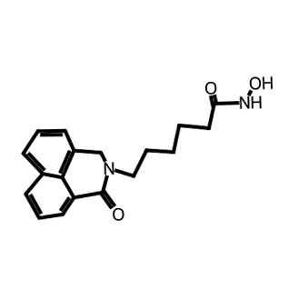 O=C(CCCCCN1Cc2cccc3cccc(c23)C1=O)NO